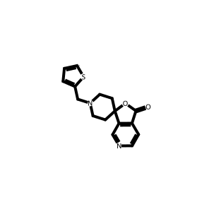 O=C1OC2(CCN(Cc3cc[c]s3)CC2)c2cnccc21